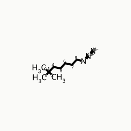 CC(C)(C)CCCCCN=[N+]=[N-]